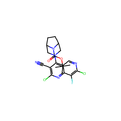 CC(C)(C)OC(=O)N1C2CCC1CN(c1c(C#N)c(Cl)nc3c(F)c(Cl)ncc13)C2